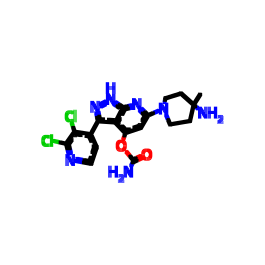 CC1(N)CCN(c2cc(OC(N)=O)c3c(-c4ccnc(Cl)c4Cl)n[nH]c3n2)CC1